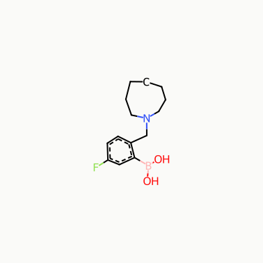 OB(O)c1cc(F)ccc1CN1CCCCCCC1